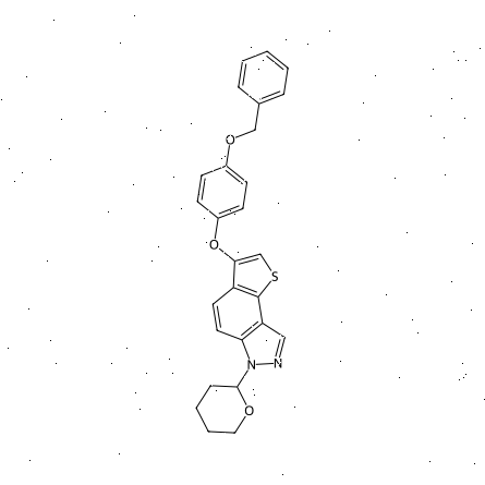 c1ccc(COc2ccc(Oc3csc4c3ccc3c4cnn3C3CCCCO3)cc2)cc1